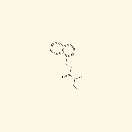 CCC(I)C(=O)OCc1cccc2ccccc12